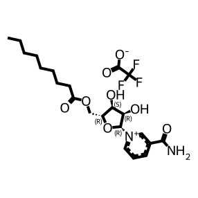 CCCCCCCCC(=O)OC[C@H]1O[C@@H]([n+]2cccc(C(N)=O)c2)[C@H](O)[C@@H]1O.O=C([O-])C(F)(F)F